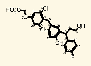 O=C(O)COc1cc(Cl)c(Cc2ccc(O)c(C(CCO)c3ccc(F)cc3)c2)c(Cl)c1